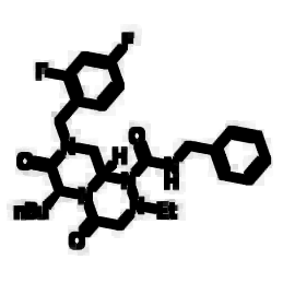 CCCC[C@H]1C(=O)N(Cc2ccc(F)cc2F)C[C@H]2N1C(=O)CN(CC)N2C(=O)NCc1ccccc1